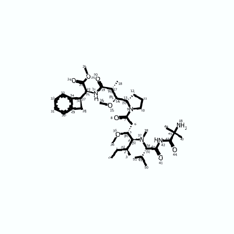 CC[C@H](C)[C@@H]([C@@H](CC(=O)N1CCC[C@H]1[C@H](OC)[C@@H](C)C(=O)N[C@H](C(=O)OC)[C@H]1Cc2ccccc21)OC)N(C)[C@H](C(=O)NC(=O)C(C)(C)N)C(C)C